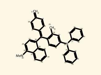 C=c1ccc(=C(c2ccc(N(c3ccccc3)c3ccccc3)cc2C)c2ccc(NC)c3ccccc23)cc1